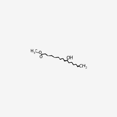 C=CCCCCC(O)CCCCCCCCC(=O)OCC